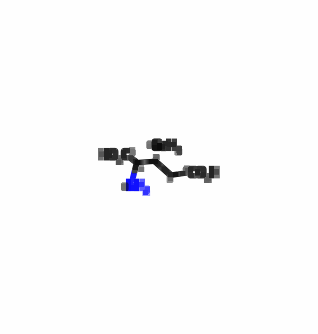 NC(CCC(=O)O)C(=O)O.[GaH3]